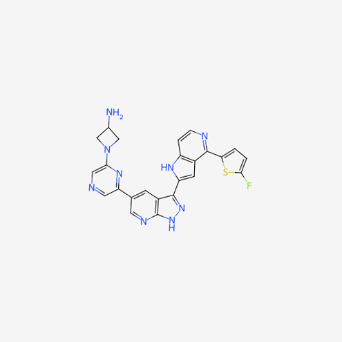 NC1CN(c2cncc(-c3cnc4[nH]nc(-c5cc6c(-c7ccc(F)s7)nccc6[nH]5)c4c3)n2)C1